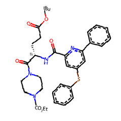 CCOC(=O)N1CCN(C(=O)[C@H](CCC(=O)OC(C)(C)C)NC(=O)c2cc(Sc3ccccc3)cc(-c3ccccc3)n2)CC1